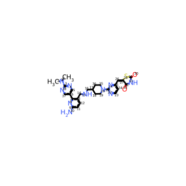 CN(C)c1ncc(-c2nc(N)ccc2CNCC2CCN(c3nccc(C=C4SC(=O)NC4=O)n3)CC2)cn1